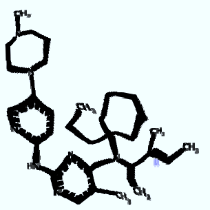 C=C(/C(C)=C/C)N(c1nc(Nc2ccc(N3CCN(C)CC3)cn2)ncc1C)C1(CCC)CCCCC1